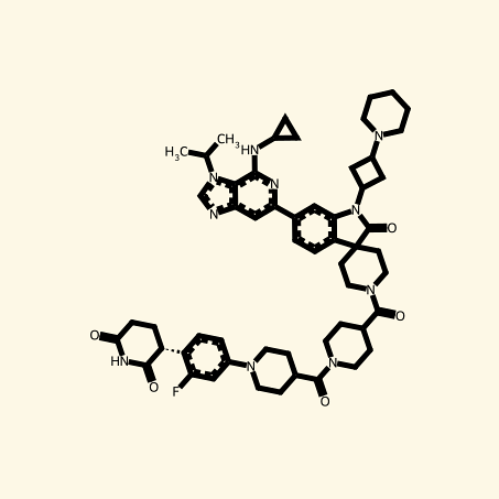 CC(C)n1cnc2cc(-c3ccc4c(c3)N(C3CC(N5CCCCC5)C3)C(=O)C43CCN(C(=O)C4CCN(C(=O)C5CCN(c6ccc([C@H]7CCC(=O)NC7=O)c(F)c6)CC5)CC4)CC3)nc(NC3CC3)c21